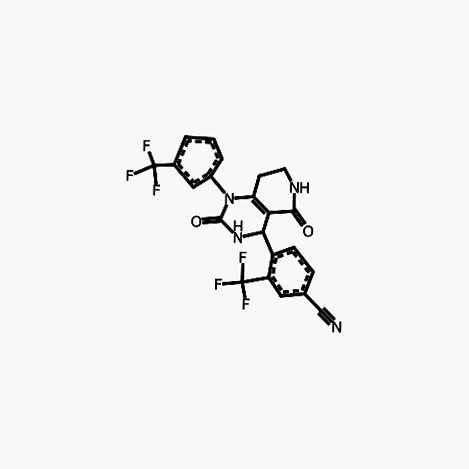 N#Cc1ccc(C2NC(=O)N(c3cccc(C(F)(F)F)c3)C3=C2C(=O)NCC3)c(C(F)(F)F)c1